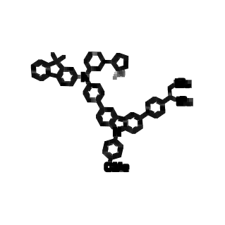 COc1ccc(-n2c3ccc(-c4ccc(C(CC(C)(C)C)C(C)(C)C)cc4)cc3c3cc(-c4ccc(N(C5=CC(C6=CC=C[C@@H]6C)CC=C5)c5ccc6c(c5)C(C)(C)c5ccccc5-6)cc4)ccc32)cc1